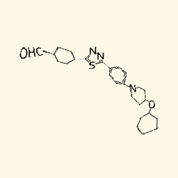 O=C[C@H]1CC[C@H](c2nnc(-c3ccc(N4CCC(OC5CCCCC5)CC4)cc3)s2)CC1